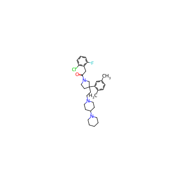 Cc1ccc(C)c(C2(CCN3CCC(N4CCCCC4)CC3)CCN(C(=O)Cc3c(F)cccc3Cl)C2)c1